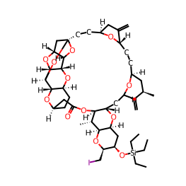 C=C1C[C@@H]2CC[C@@]34C[C@H]5O[C@H]6[C@@H](O3)[C@H]3O[C@H](CC[C@@H]3O[C@H]6[C@H]5O4)CC(=O)O[C@@H]3[C@@H](C)[C@@H]4O[C@H](CI)[C@H](O[Si](CC)(CC)CC)C[C@@H]4O[C@H]3C[C@H]3O[C@@H](CC[C@@H]1O2)C[C@@H](C)C3=C